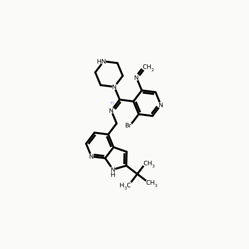 C=Nc1cncc(Br)c1/C(=N\Cc1ccnc2[nH]c(C(C)(C)C)cc12)N1CCNCC1